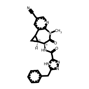 CN1C(=O)[C@@H](NC(=O)c2nnc(Cc3ccccc3)[nH]2)[C@H]2CC2c2cc(C#N)cnc21